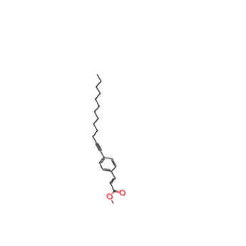 CCCCCCCCCCCC#Cc1ccc(C=CC(=O)OC)cc1